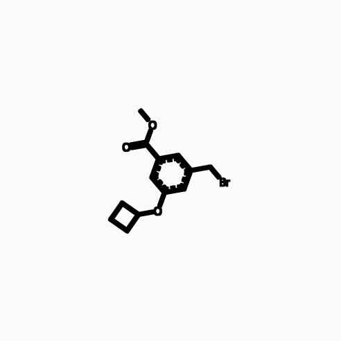 COC(=O)c1cc(CBr)cc(OC2CCC2)c1